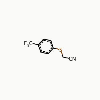 N#CCSc1ccc(C(F)(F)F)cc1